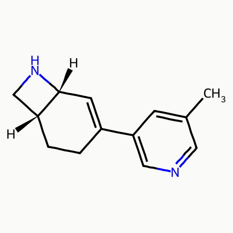 Cc1cncc(C2=C[C@H]3NC[C@H]3CC2)c1